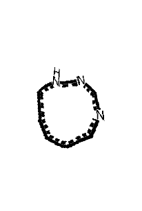 c1ccncn[nH]cc1